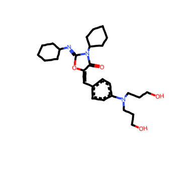 O=C1/C(=C\c2ccc(N(CCCO)CCCO)cc2)O/C(=N\C2CCCCC2)N1C1CCCCC1